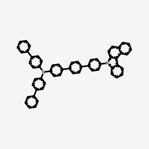 c1ccc(-c2ccc(N(c3ccc(-c4ccccc4)cc3)c3ccc(-c4ccc(-c5ccc(-n6c7ccccc7c7c8ccccc8ccc76)cc5)cc4)cc3)cc2)cc1